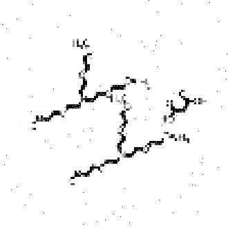 COCCOCCN(CCOCCOC)CCOCCOC.COCCOCCN(CCOCCOC)CCOCCOC.O=C(O)CC(=O)O